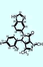 Cc1nn(C)c2c1C(c1ccc(Br)cc1F)N(c1ccc3[nH]cnc3c1)C2=O